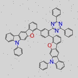 c1ccc(-c2nc(-c3ccccc3)nc(-c3cc(-c4cccc5c4oc4cc6c(cc45)c4ccccc4n6-c4ccccc4)ccc3-c3cccc4c3oc3cc5c(cc34)c3ccccc3n5-c3ccccc3)n2)cc1